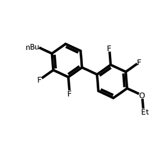 CCCCc1ccc(-c2ccc(OCC)c(F)c2F)c(F)c1F